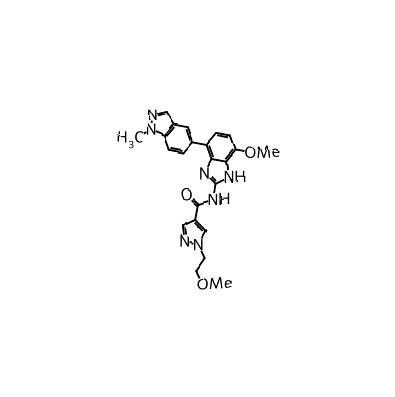 COCCn1cc(C(=O)Nc2nc3c(-c4ccc5c(cnn5C)c4)ccc(OC)c3[nH]2)cn1